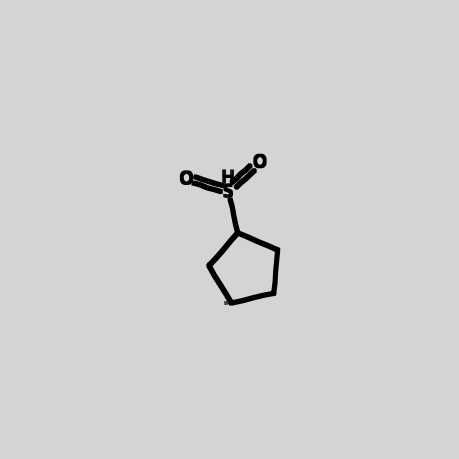 O=[SH](=O)C1C[CH]CC1